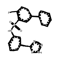 O=S(=O)(Nc1cccc(-c2nn[nH]n2)c1)c1cc(-c2ccccc2)ccc1F